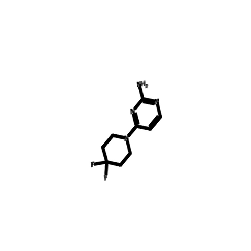 Nc1nccc(N2CCC(F)(F)CC2)n1